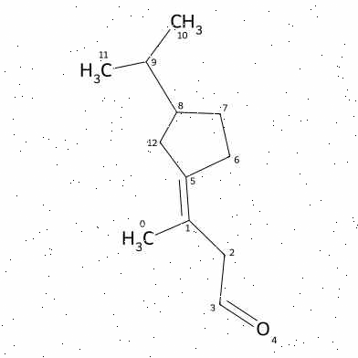 CC(CC=O)=C1CCC(C(C)C)C1